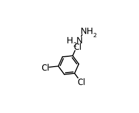 Clc1cc(Cl)cc(Cl)c1.NN